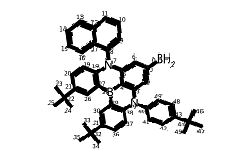 Bc1cc2c3c(c1)N(c1cccc4ccccc14)c1ccc(C(C)(C)C)cc1B3c1cc(C(C)(C)C)ccc1N2c1ccc(C(C)(C)C)cc1